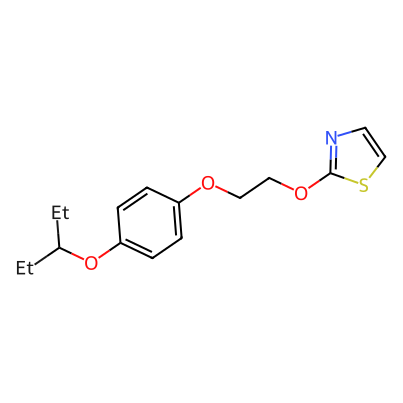 CCC(CC)Oc1ccc(OCCOc2nccs2)cc1